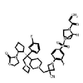 C=CC(=O)N1CC2C[C@H]1CN2S(=O)(=O)c1ccc(N2CC(C#N)(CN3CCC(C(CN4CCC4)(c4cccc(F)c4)[C@H]4CCC[C@@H]4N4CCOC4=O)CC3)C2)c(F)c1